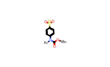 CC(=O)N(C(=O)OC(C)(C)C)c1[c]cc([SH](=O)=O)cc1